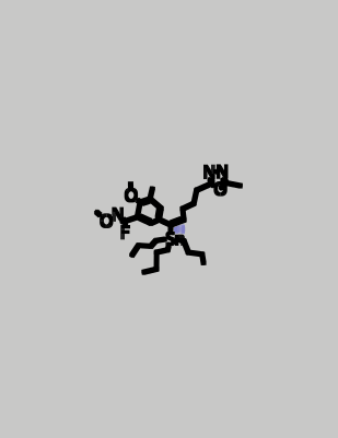 CCC[CH2][Sn]([CH2]CCC)([CH2]CCC)/[C](=C/CCCc1nnc(C)o1)c1cc(C)c(OC)c(C(F)=NOC)c1